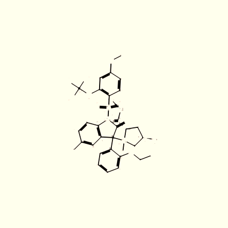 CCOc1ccccc1C1([N+]2(C)C[C@H](O)C[C@H]2C(=O)NC)C(=O)N(S(=O)(=O)c2ccc(OC)cc2OC(F)(F)F)c2ccc(Cl)cc21